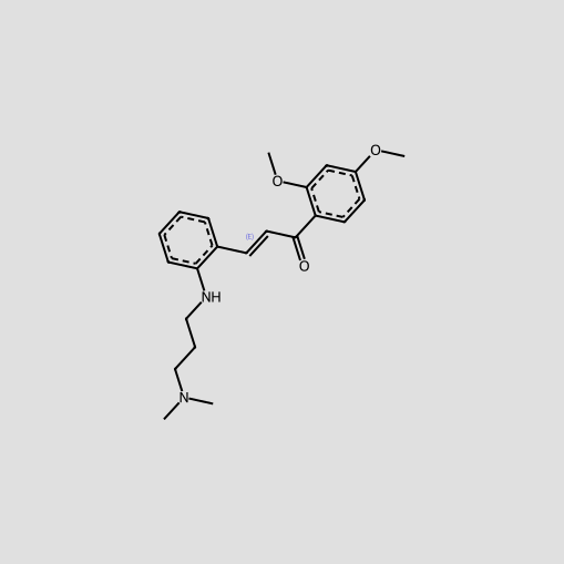 COc1ccc(C(=O)/C=C/c2ccccc2NCCCN(C)C)c(OC)c1